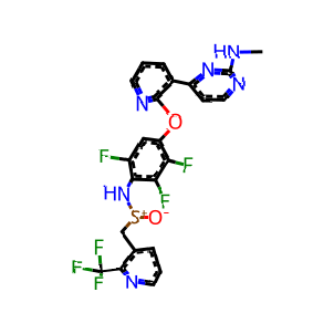 CNc1nccc(-c2cccnc2Oc2cc(F)c(N[S+]([O-])Cc3cccnc3C(F)(F)F)c(F)c2F)n1